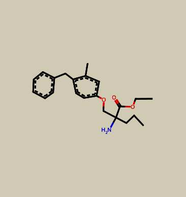 CCCC(N)(COc1ccc(Cc2ccccc2)c(C)c1)C(=O)OCC